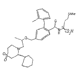 CSCC[C@H](NC(=O)c1ccc(COC(C)CN2CCS(=O)(=O)CC2C2CCCCC2)cc1-c1ccccc1C)C(=O)O